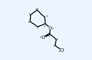 O=C(CCCl)OC1CCCCC1